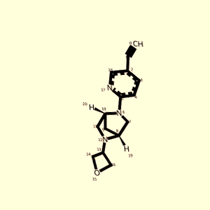 C#Cc1ccc(N2C[C@H]3C[C@@H]2CN3C2COC2)nc1